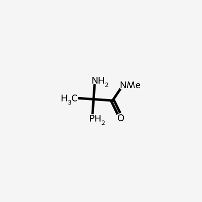 CNC(=O)C(C)(N)P